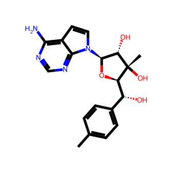 Cc1ccc([C@@H](O)[C@H]2O[C@@H](n3ccc4c(N)ncnc43)[C@H](O)[C@]2(C)O)cc1